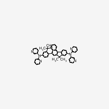 CC1(C)c2cc(N(c3cccnc3)c3ccccn3)ccc2-c2c1cc1c3c(cccc23)C(C)(C)c2cc(N(c3cccnc3)c3ccccn3)ccc2-1